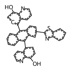 Oc1ccc(-c2c3ccccc3c(-c3ccc(O)c4ncccc34)c3cc(-c4nc5ccccc5s4)ccc23)c2cccnc12